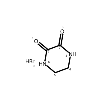 Br.O=C1NCCNC1=O